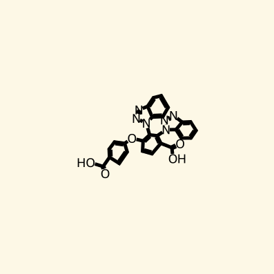 O=C(O)c1ccc(Oc2ccc(C(=O)O)c(-n3nnc4ccccc43)c2-n2nnc3ccccc32)cc1